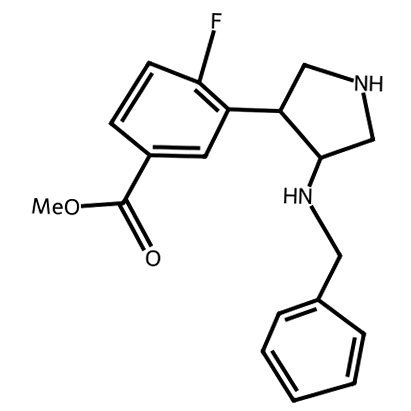 COC(=O)c1ccc(F)c(C2CNCC2NCc2ccccc2)c1